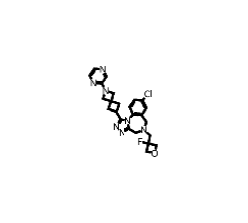 FC1(CN2Cc3cc(Cl)ccc3-n3c(nnc3C3CC4(C3)CN(c3cnccn3)C4)C2)COC1